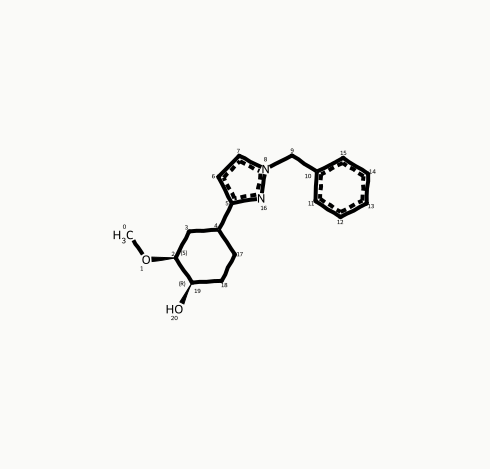 CO[C@H]1CC(c2ccn(Cc3ccccc3)n2)CC[C@H]1O